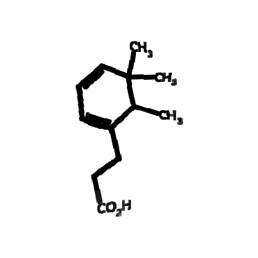 CC1C(CCC(=O)O)=CC=CC1(C)C